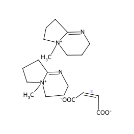 C[N+]12CCCN=C1CCC2.C[N+]12CCCN=C1CCC2.O=C([O-])/C=C\C(=O)[O-]